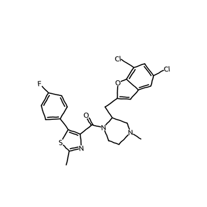 Cc1nc(C(=O)N2CCN(C)CC2Cc2cc3cc(Cl)cc(Cl)c3o2)c(-c2ccc(F)cc2)s1